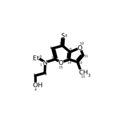 CCN(CCO)c1cc(=S)c2occ(C)c2o1